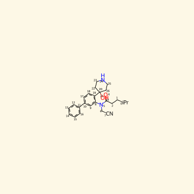 CC(C)CCC(=O)N(CC#N)c1cc(-c2ccccc2)ccc1C1(O)CCNCC1